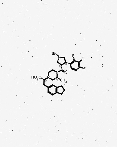 C[C@H]1CN([C@@H](Cc2ccc3c(c2)CCC3)C(=O)O)CCN1C(=O)[C@@H]1CN(C(C)(C)C)C[C@H]1c1ccc(F)c(F)c1F